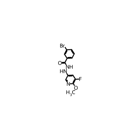 COc1ncc(NNC(=O)c2cccc(Br)c2)cc1F